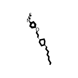 CCCCCCCC[C@H]1CC[C@H](CCCOc2ccc(N=C=S)cc2)CC1